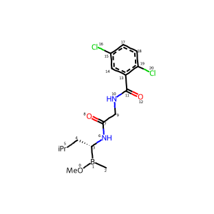 COB(C)[C@H](CC(C)C)NC(=O)CNC(=O)c1cc(Cl)ccc1Cl